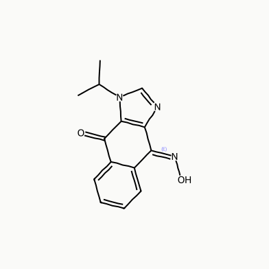 CC(C)n1cnc2c1C(=O)c1ccccc1/C2=N\O